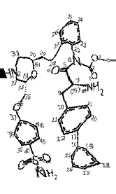 COC(=O)N(C(=O)[C@@H](N)Cc1ccc(-c2ccccc2)cc1)c1ccccc1CC[C@@H]1CNC[C@@H](COc2ccc(S(N)(=O)=O)cc2)O1